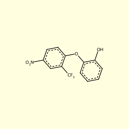 O=[N+]([O-])c1ccc(Oc2ccccc2O)c(C(F)(F)F)c1